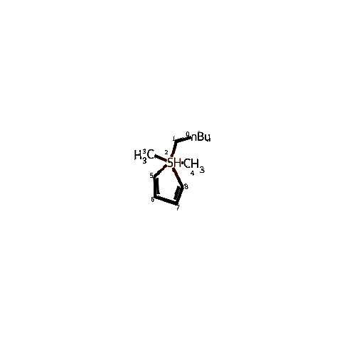 CCCCC[SH]1(C)(C)C=CC=C1